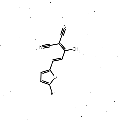 CC(/C=C/c1ccc(Br)o1)=C(C#N)C#N